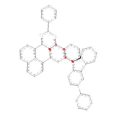 c1ccc(-c2ccc3c(c2)c2ccccc2n3-c2cccc(-c3cccc4cccc(-c5nc(-c6ccccc6)nc(-c6ccccc6)n5)c34)c2)cc1